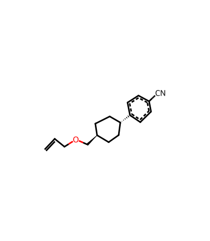 C=CCOC[C@H]1CC[C@H](c2ccc(C#N)cc2)CC1